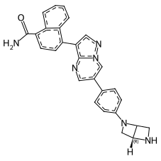 NC(=O)c1ccc(-c2cnn3cc(-c4ccc(N5C[C@H]6NCC65)cc4)cnc23)c2ccccc12